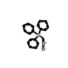 [N-]=[N+]=C[Si](c1ccccc1)(c1ccccc1)c1ccccc1